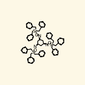 c1ccc(C[Si](Cc2ccccc2)(Cc2ccccc2)ON=C2CC(=NO[Si](Cc3ccccc3)(Cc3ccccc3)Cc3ccccc3)CC(=NO[Si](Cc3ccccc3)(Cc3ccccc3)Cc3ccccc3)C2)cc1